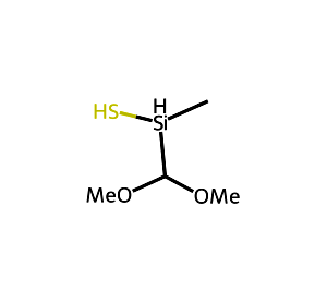 COC(OC)[SiH](C)S